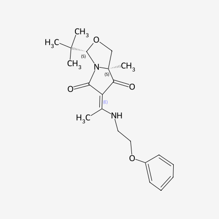 C/C(NCCOc1ccccc1)=C1\C(=O)N2[C@H](C(C)(C)C)OC[C@@]2(C)C1=O